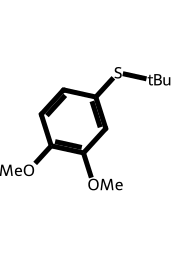 COc1ccc(SC(C)(C)C)cc1OC